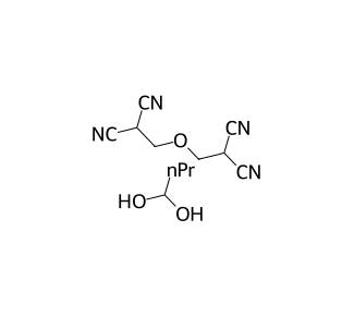 CCCC(O)O.N#CC(C#N)COCC(C#N)C#N